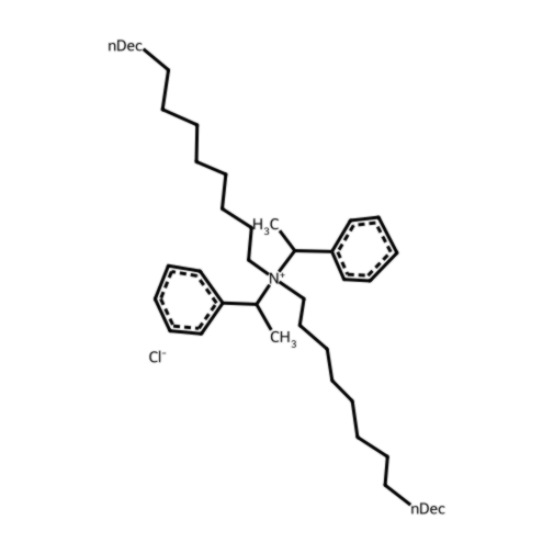 CCCCCCCCCCCCCCCCCC[N+](CCCCCCCCCCCCCCCCCC)(C(C)c1ccccc1)C(C)c1ccccc1.[Cl-]